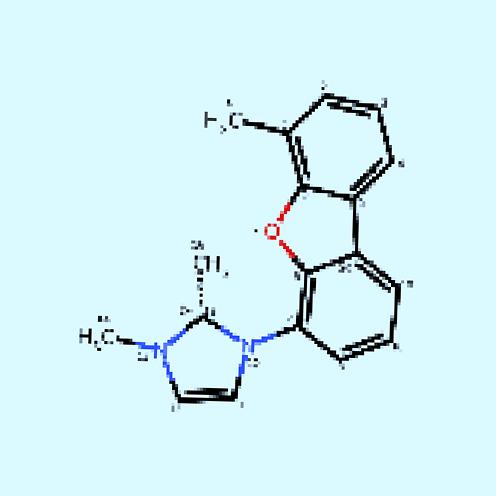 Cc1cccc2c1oc1c(N3C=CN(C)[C@@H]3C)cccc12